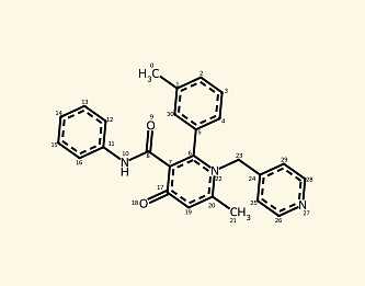 Cc1cccc(-c2c(C(=O)Nc3ccccc3)c(=O)cc(C)n2Cc2ccncc2)c1